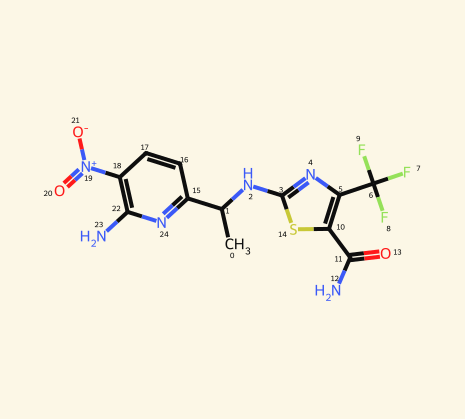 CC(Nc1nc(C(F)(F)F)c(C(N)=O)s1)c1ccc([N+](=O)[O-])c(N)n1